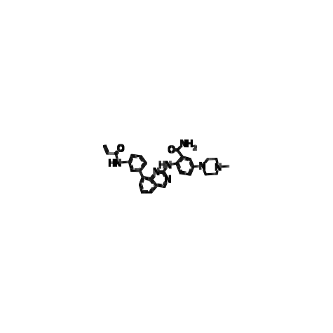 C=CC(=O)Nc1cccc(-c2cccc3cnc(Nc4ccc(N5CCN(C)CC5)cc4C(N)=O)nc23)c1